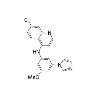 COc1cc(Nc2ccnc3cc(Cl)ccc23)cc(-n2ccnc2)c1